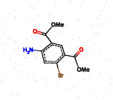 COC(=O)c1cc(C(=O)OC)c(Br)cc1N